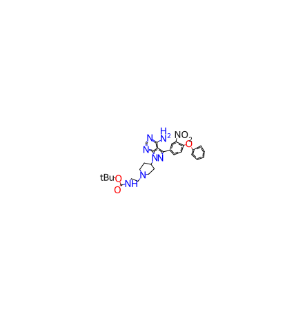 CC(C)(C)OC(=O)NCCN1CCC(n2nc(-c3ccc(Oc4ccccc4)c([N+](=O)[O-])c3)c3c(N)ncnc32)CC1